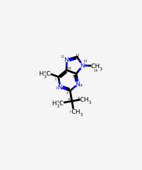 Cc1nc(C(C)(C)C)nc2c1ncn2C